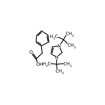 CC(C)(C)N1C=CN(C(C)(C)C)C1.O=C(O)Cc1ccccc1